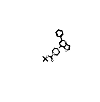 CC(C)(C)OC(=O)N1CCN(c2cc(-c3ccccc3)nc3ccoc23)CC1